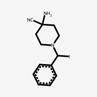 N#CC1(N)CCN(C(I)c2ccccc2)CC1